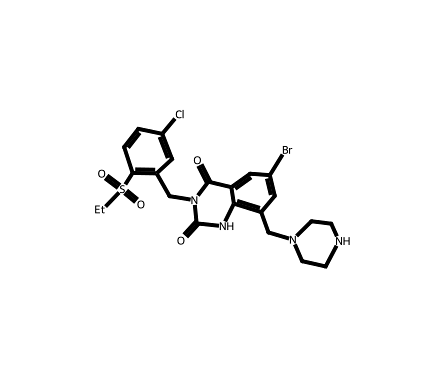 CCS(=O)(=O)c1ccc(Cl)cc1Cn1c(=O)[nH]c2c(CN3CCNCC3)cc(Br)cc2c1=O